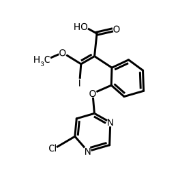 COC(I)=C(C(=O)O)c1ccccc1Oc1cc(Cl)ncn1